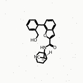 O=C(N[C@@H]1CN2CCC1CC2)c1cc2cccc(-c3ccccc3CO)c2o1